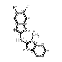 Cn1c(Nc2nc3cc(F)c(F)cc3s2)nc2ccccc21